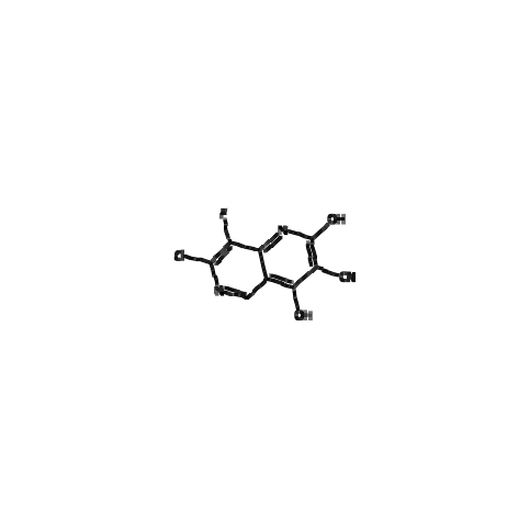 N#Cc1c(O)nc2c(F)c(Cl)ncc2c1O